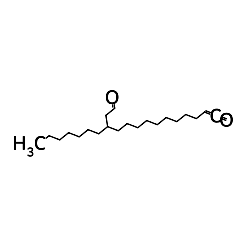 CCCCCCCC(CC=O)CCCCCCCCCC=C=O